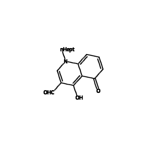 CCCCCCCn1cc(C=O)c(O)c2c(=O)cccc1-2